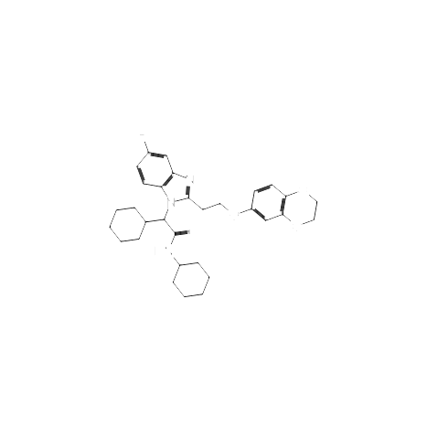 O=C(NC1CCCCC1)C(C1CCCCC1)n1c(CCOc2ccc3c(c2)OCCO3)nc2cc(F)ccc21